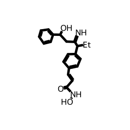 CCC(C(=N)CC(O)c1ccccc1)c1ccc(/C=C/C(=O)NO)cc1